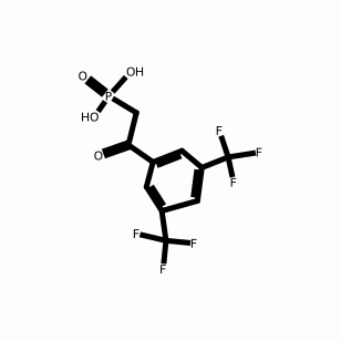 O=C(CP(=O)(O)O)c1cc(C(F)(F)F)cc(C(F)(F)F)c1